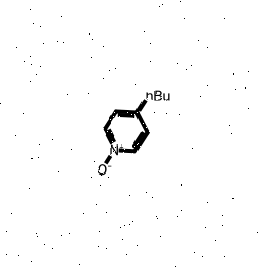 CCCCc1cc[n+]([O-])cc1